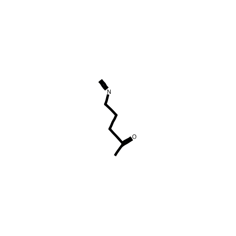 C=NCCCC(C)=O